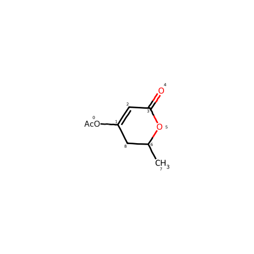 CC(=O)OC1=CC(=O)OC(C)C1